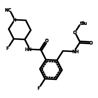 CC(C)(C)OC(=O)NCc1ccc(F)cc1C(=O)NC1CCN(C#N)CC1F